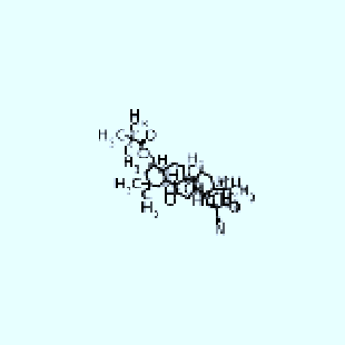 CC1(C)C[C@@H](COC(=O)C(C)(C)C)[C@H]2CC[C@]3(C)[C@H](C(=O)C[C@@H]4[C@@]5(C)C=C(C#N)C(=O)C(C)(C)[C@@H]5CC[C@]43C)[C@H]2C1